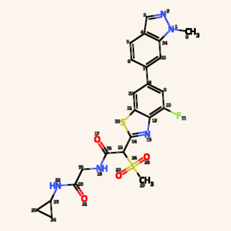 Cn1ncc2ccc(-c3cc(F)c4nc(C(C(=O)NCC(=O)NC5CC5)S(C)(=O)=O)sc4c3)cc21